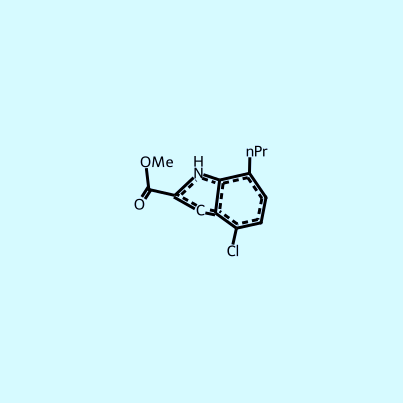 CCCc1ccc(Cl)c2cc(C(=O)OC)[nH]c12